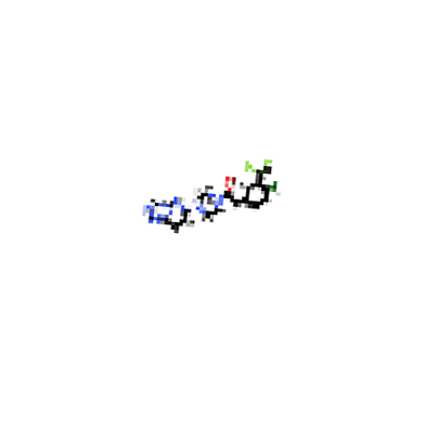 O=C(Cc1ccc(Cl)c(C(F)F)c1)N1CCN(c2ccc3nncn3n2)CC1